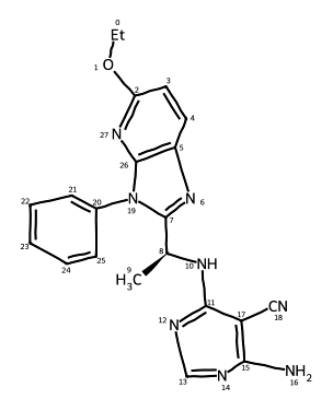 CCOc1ccc2nc([C@H](C)Nc3ncnc(N)c3C#N)n(-c3ccccc3)c2n1